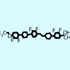 CCOc1ccc(C2=CCC(c3ccc(CCC4CCC(c5ccc(C(C)O)c(F)c5F)CC4)c(F)c3F)CC2)c(F)c1F